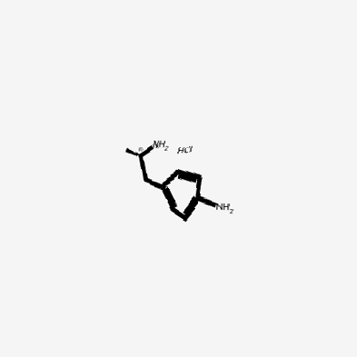 C[C@@H](N)Cc1ccc(N)cc1.Cl